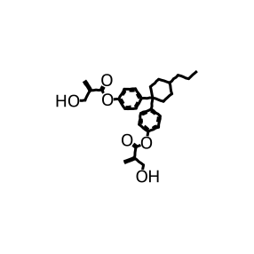 C=C(CO)C(=O)Oc1ccc(C2(c3ccc(OC(=O)C(=C)CO)cc3)CCC(CCC)CC2)cc1